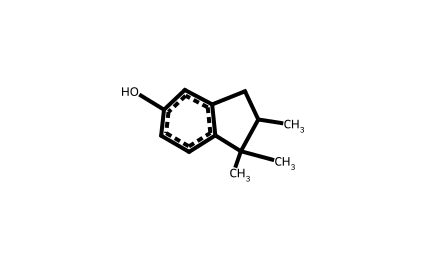 CC1Cc2cc(O)ccc2C1(C)C